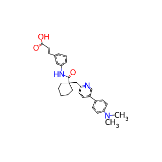 CN(C)c1ccc(-c2ccc(CC3(C(=O)Nc4cccc(/C=C/C(=O)O)c4)CCCCC3)nc2)cc1